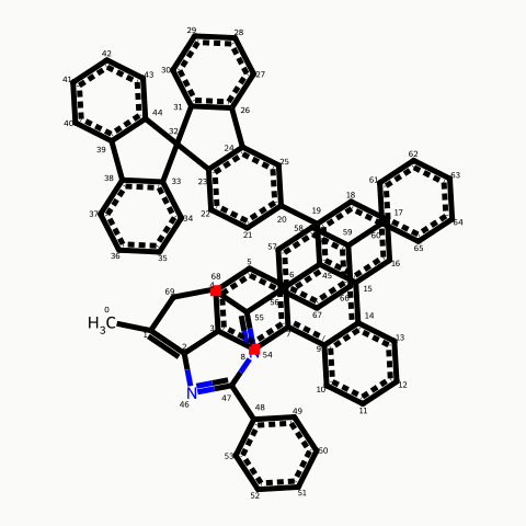 C\C1=C(c2ccc3c(c2)c2ccccc2c2cccc(-c4ccc5c(c4)-c4ccccc4C54c5ccccc5-c5ccccc54)c23)/N=C(c2ccccc2)\N=C(\c2ccc(-c3ccccc3)cc2)CC1